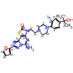 CC(C)(O)c1ccc(N2CCN(CCn3c(=O)sc4c3nc(N)n3nc(-c5ccco5)nc43)CC2)c(F)c1